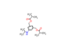 CC(C)Nc1cc(COC(=O)C(C)C)cc(COC(=O)C(C)C)c1